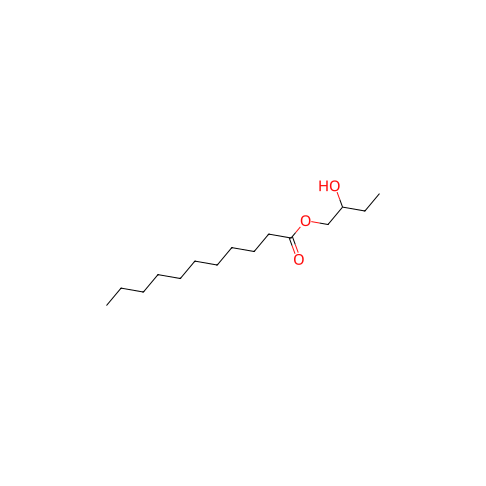 CCCCCCCCCCC(=O)OCC(O)CC